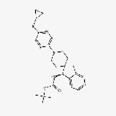 CC(C)(C)OC(=O)N[C@@H]1c2ccccc2CC12CCN(c1cnc(SC3CC3)cn1)CC2